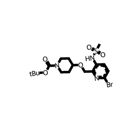 CC(C)(C)OC(=O)N1CCC(OCc2nc(Br)ccc2NS(C)(=O)=O)CC1